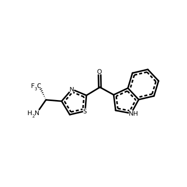 N[C@@H](c1csc(C(=O)c2c[nH]c3ccccc23)n1)C(F)(F)F